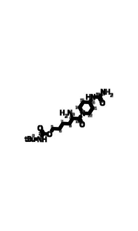 CC(C)(C)NC(=O)OCCCC[C@@H](N)C(=O)N1CCC(NC(N)=O)CC1